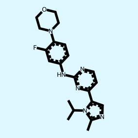 Cc1ncc(-c2ccnc(Nc3ccc(N4CCOCC4)c(F)c3)n2)n1C(C)C